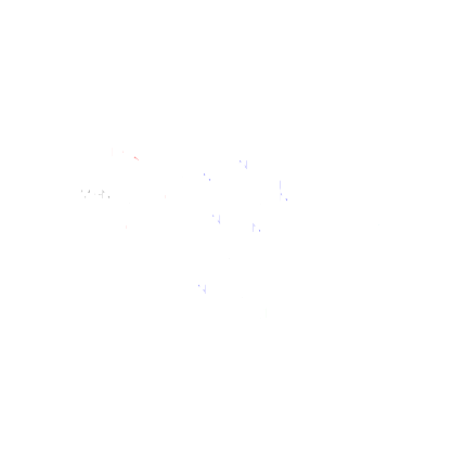 CNC(=O)[C@H]1O[C@@H](n2cnc3c(NCc4cc(F)cc(F)c4)nc(-c4cncc(Cl)c4)nc32)C[C@@H]1O